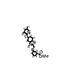 COC(=O)c1cccc(OCc2nc3ccc(Oc4ncc(C)cc4C)cc3n2C)c1